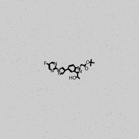 CC(O)c1nn(CC(=O)OC(C)(C)C)c2ccc(-c3cnn(-c4ncc(F)cn4)c3)cc12